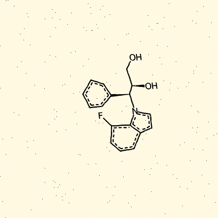 OC[C@@H](O)[C@H](c1ccccc1)n1ccc2cccc(F)c21